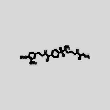 C=CC(=O)NCCCN(C)S(=O)(=O)c1ccc(C(=O)NCCc2ccc(OC)c(OC)c2)cc1